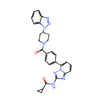 O=C(Nc1nc2cccc(-c3ccc(C(=O)N4CCC(n5nnc6ccccc65)CC4)cc3)n2n1)C1CC1